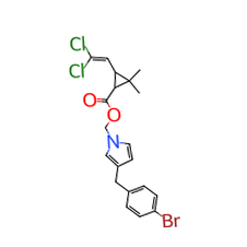 CC1(C)C(C=C(Cl)Cl)C1C(=O)OCn1ccc(Cc2ccc(Br)cc2)c1